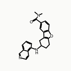 CN(C)C(=O)c1ccc2oc3c(c2c1)CC(Nc1cccc2cnccc12)CC3